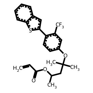 C=CC(=O)OC(C)CC(C)(C)Oc1ccc(-c2cc3ccccc3s2)c(C(F)(F)F)c1